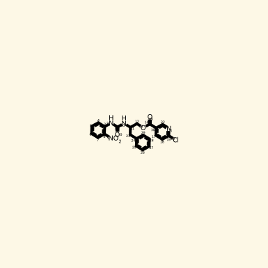 O=C(Nc1ccccc1[N+](=O)[O-])NC(COC(=O)c1ccc(Cl)nc1)Cc1ccccc1